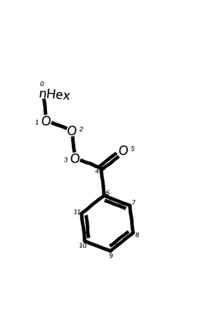 CCCCCCOOOC(=O)c1ccccc1